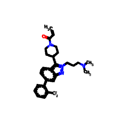 C=CC(=O)N1CCC(c2c3ccc(-c4ccccc4C(F)(F)F)cc3nn2CCCN(C)C)CC1